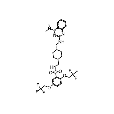 CN(C)c1nc(NC[C@H]2CC[C@H](CNS(=O)(=O)c3cc(OCC(F)(F)F)ccc3OCC(F)(F)F)CC2)nc2ccccc12